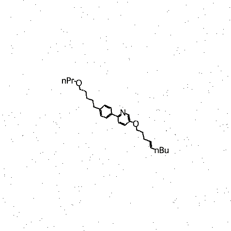 CCCC/C=C/CCCOc1ccc(-c2ccc(CCCCCOCCC)cc2)nc1